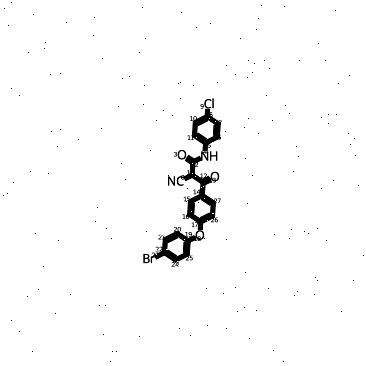 N#CC(C(=O)Nc1ccc(Cl)cc1)C(=O)c1ccc(Oc2ccc(Br)cc2)cc1